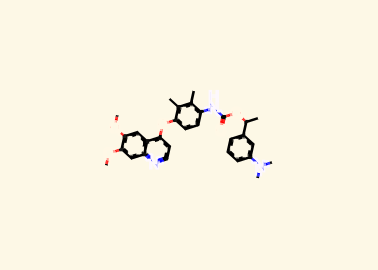 COc1cc2nccc(Oc3ccc(NC(=O)OC(C)c4cccc(N(C)C)c4)c(C)c3C)c2cc1OC